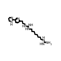 N=C(N)NCCCCCCCCNC(=N)NCCCc1ccc(C2=NCCCN2)cn1